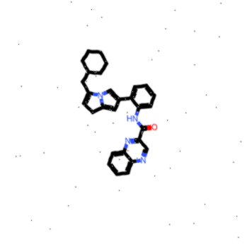 O=C(Nc1ccccc1-c1cc2n(c1)C(CC1CCCCC1)=CC2)c1cnc2ccccc2n1